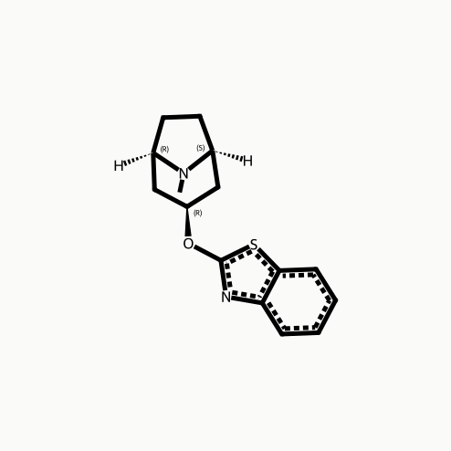 CN1[C@@H]2CC[C@H]1C[C@@H](Oc1nc3ccccc3s1)C2